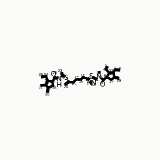 C=CC1=C(C=C)C(C(=O)N(C)c2nnc(CCCCC(=C)SC(=C)NC(=O)C3CC(=C)C(C)=C3C=C)s2)CC1=C